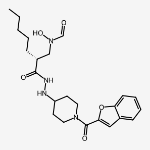 CCCCC[C@H](CN(O)C=O)C(=O)NNC1CCN(C(=O)c2cc3ccccc3o2)CC1